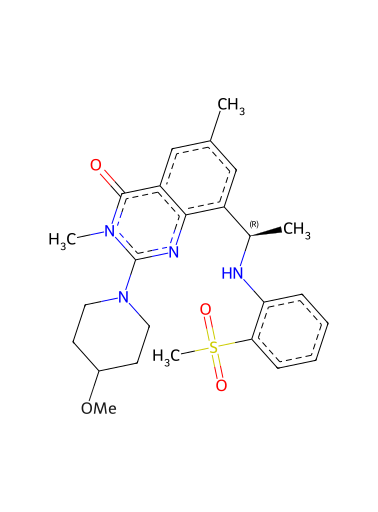 COC1CCN(c2nc3c([C@@H](C)Nc4ccccc4S(C)(=O)=O)cc(C)cc3c(=O)n2C)CC1